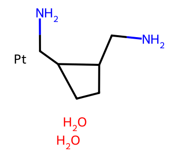 NCC1CCC1CN.O.O.[Pt]